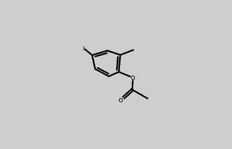 CC(=O)Oc1ccc(I)cc1C